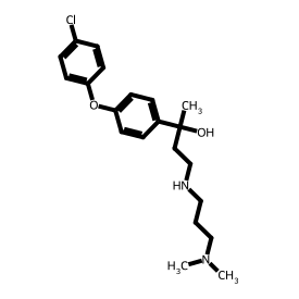 CN(C)CCCNCCC(C)(O)c1ccc(Oc2ccc(Cl)cc2)cc1